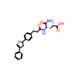 NC(=O)[C@H](CCC(=O)O)NC(=O)CCc1ccc(C2CC(c3ccccc3)=CS2)cc1